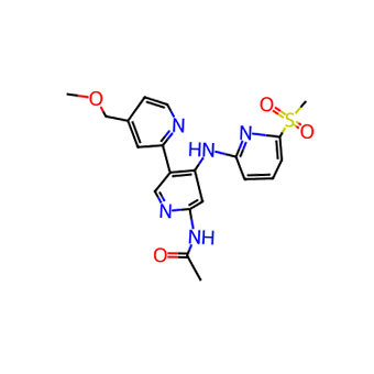 COCc1ccnc(-c2cnc(NC(C)=O)cc2Nc2cccc(S(C)(=O)=O)n2)c1